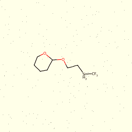 FC(F)(F)[SiH2]CCOC1CCCCO1